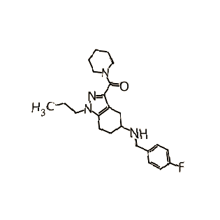 CCCn1nc(C(=O)N2CCCCC2)c2c1CCC(NCc1ccc(F)cc1)C2